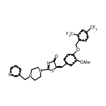 COc1cc(C=C2SC(N3CCN(Cc4cccnc4)CC3)=NC2=O)ccc1OCc1ccc(C(F)(F)F)cc1C(F)(F)F